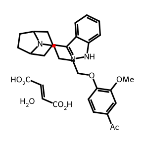 COc1cc(C(C)=O)ccc1OCCCCN1C2CCC1CC(c1n[nH]c3ccccc13)C2.O.O=C(O)/C=C/C(=O)O